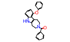 O=C(c1ccccc1)N1CCc2[nH]c3cccc(Oc4ccccc4)c3c2CC1